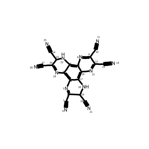 N#CC1=Nc2c3c(c4nc(C#N)c(C#N)nc4c2NC1C#N)NC(C#N)C(C#N)=N3